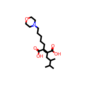 CC(C)C(C)CC(C(=O)O)=C(CCCCCN1CCOCC1)C(=O)O